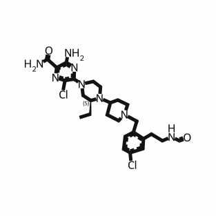 CC[C@H]1CN(c2nc(N)c(C(N)=O)nc2Cl)CCN1C1CCN(Cc2ccc(Cl)cc2CCNC=O)CC1